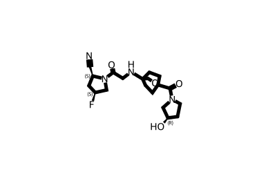 N#C[C@@H]1C[C@H](F)CN1C(=O)CNC12CCC(C(=O)N3CC[C@@H](O)C3)(CC1)CC2